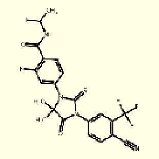 CC(I)NC(=O)c1ccc(N2C(=S)N(c3ccc(C#N)c(C(F)(F)F)c3)C(=O)C2(C)C)cc1F